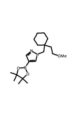 COCCC1(Cn2cc(B3OC(C)(C)C(C)(C)O3)cn2)CCCCC1